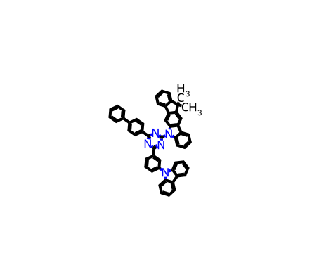 CC1(C)c2ccccc2-c2cc3c(cc21)c1ccccc1n3-c1nc(-c2ccc(-c3ccccc3)cc2)nc(-c2cccc(-n3c4ccccc4c4ccccc43)c2)n1